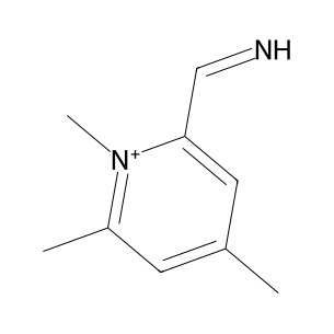 Cc1cc(C)[n+](C)c(C=N)c1